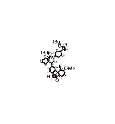 COc1ccc(C(N)=O)c(-c2cc(C(CN(C(=O)OC(C)(C)C)C3CCC(NC(=O)OC(C)(C)C)CC3)c3ccccc3)ccc2Cl)c1F